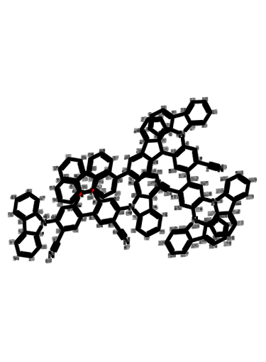 N#Cc1cc(-n2c3ccccc3c3ccccc32)c(C2c3ccccc3-c3cc(-c4ccc5c(c4)c4ccccc4n5-c4cc(-n5c6ccccc6c6ccccc65)c(C#N)cc4-c4cc(C#N)c(-n5c6ccccc6c6ccccc65)cc4-n4c5ccccc5c5ccccc54)ccc32)cc1-c1cc(-n2c3ccccc3c3ccccc32)c(-n2c3ccccc3c3ccccc32)cc1C#N